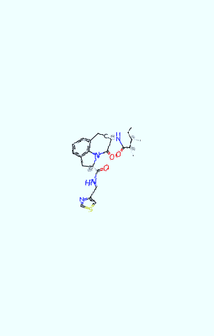 CC[C@H](C)[C@H](C)C(=O)N[C@H]1CCc2cccc3c2N(C1=O)[C@H](C(=O)NCc1cscn1)C3